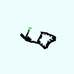 CC(Br)=Cc1ccccc1